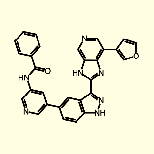 O=C(Nc1cncc(-c2ccc3[nH]nc(-c4nc5c(-c6ccoc6)cncc5[nH]4)c3c2)c1)c1ccccc1